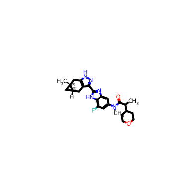 CC(C(=O)N(C)c1cc(F)c2[nH]c(-c3n[nH]c4c3C[C@@H]3C[C@]3(C)C4)nc2c1)C1CCOCC1